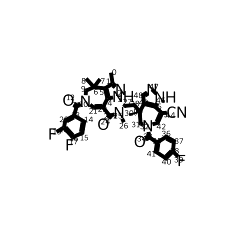 Cc1n[nH]c2c1C(C)(C)CN(C(=O)c1ccc(F)c(F)c1)C=C2C(=O)N(C)CC[C@@]1(C)CN(C(=O)c2ccc(F)cc2)C=C(C#N)c2[nH]ncc21